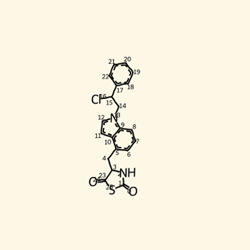 O=C1NC(Cc2cccc3c2ccn3CC(Cl)c2ccccc2)C(=O)S1